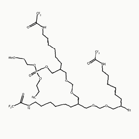 CCC(CCCCCCNC(=O)C(F)(F)F)COCOCC(CCCCCCNC(=O)C(F)(F)F)COCOCC(CCCCCCNC(=O)C(F)(F)F)COP(=O)(OCCC#N)OCCOC